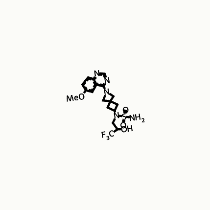 COc1ccc2ncnc(N3CC4(CC(N(CC(O)C(F)(F)F)S(N)(=O)=O)C4)C3)c2c1